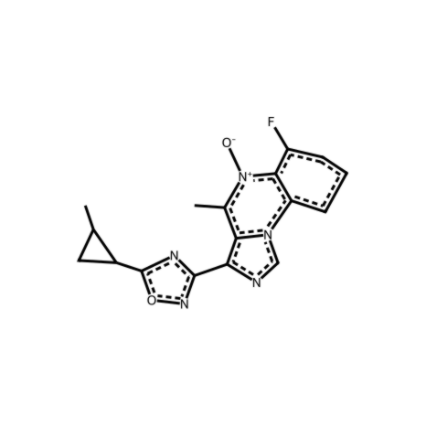 Cc1c2c(-c3noc(C4CC4C)n3)ncn2c2cccc(F)c2[n+]1[O-]